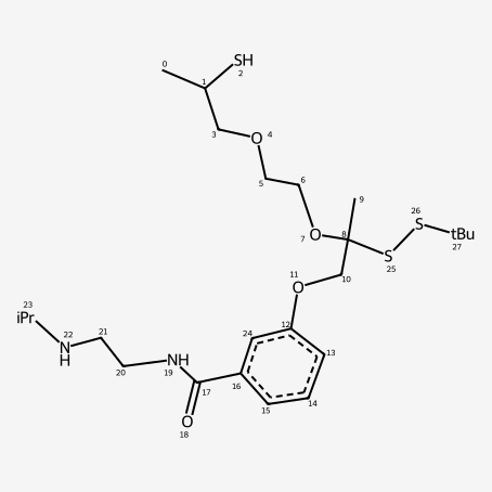 CC(S)COCCOC(C)(COc1cccc(C(=O)NCCNC(C)C)c1)SSC(C)(C)C